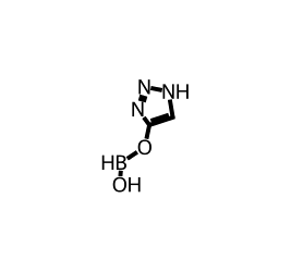 OBOc1c[nH]nn1